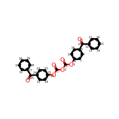 O=C(OC(=O)Oc1ccc(C(=O)c2ccccc2)cc1)Oc1ccc(C(=O)c2ccccc2)cc1